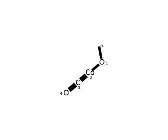 C[O][Co]=[C]=O